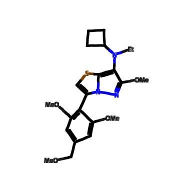 CCN(c1c(OC)nn2c(-c3c(OC)cc(COC)cc3OC)csc12)C1CCC1